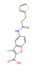 Cc1c(C(=O)O)oc2ccc(NC(=O)CCc3cccs3)cc12